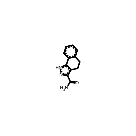 NC(=O)c1n[nH]c2c1CCc1ccccc1-2